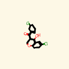 O=C(c1cccc(Cl)c1)C1COc2ccc(Cl)cc2C1O